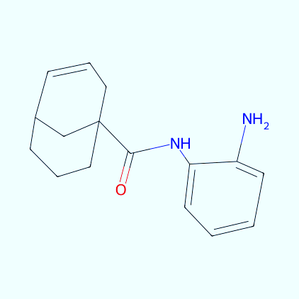 Nc1ccccc1NC(=O)C12CC=CC(CCC1)C2